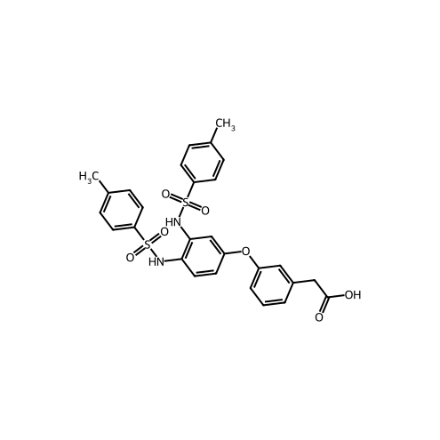 Cc1ccc(S(=O)(=O)Nc2ccc(Oc3cccc(CC(=O)O)c3)cc2NS(=O)(=O)c2ccc(C)cc2)cc1